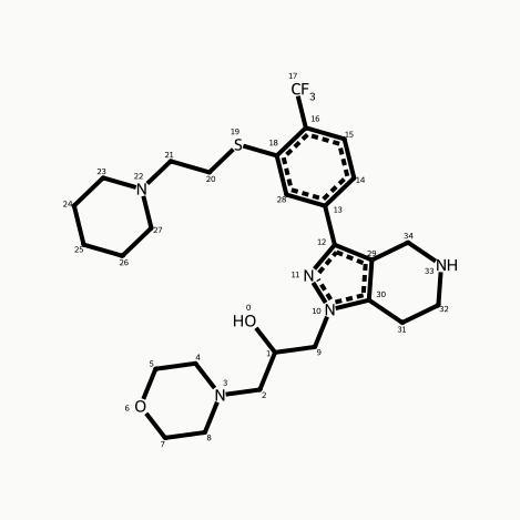 OC(CN1CCOCC1)Cn1nc(-c2ccc(C(F)(F)F)c(SCCN3CCCCC3)c2)c2c1CCNC2